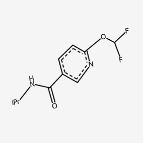 CC(C)NC(=O)c1ccc(OC(F)F)nc1